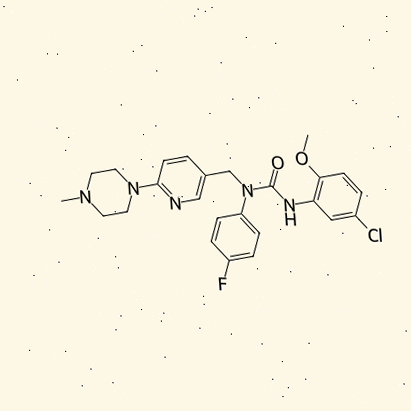 COc1ccc(Cl)cc1NC(=O)N(Cc1ccc(N2CCN(C)CC2)nc1)c1ccc(F)cc1